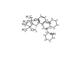 CC(C)(C)P(Cc1ccccc1CP(C1CCCCN1)C1CCCCN1)C(C)(C)C